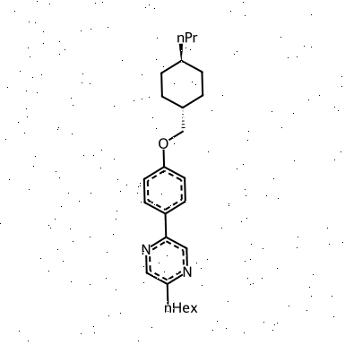 CCCCCCc1cnc(-c2ccc(OC[C@H]3CC[C@H](CCC)CC3)cc2)cn1